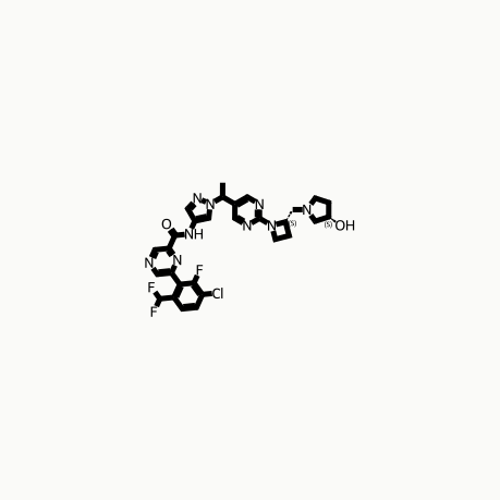 CC(c1cnc(N2CC[C@H]2CN2CC[C@H](O)C2)nc1)n1cc(NC(=O)c2cncc(-c3c(C(F)F)ccc(Cl)c3F)n2)cn1